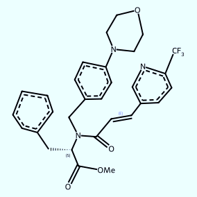 COC(=O)[C@H](Cc1ccccc1)N(Cc1ccc(N2CCOCC2)cc1)C(=O)/C=C/c1ccc(C(F)(F)F)nc1